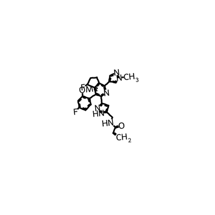 C=CC(=O)NCc1cc(-c2nc(-c3cnn(C)c3)c3c(c2-c2ccc(F)cc2OC)C(F)CC3)n[nH]1